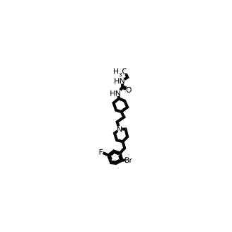 CCNC(=O)NC1CCC(CCN2CCC(Cc3cc(F)ccc3Br)CC2)CC1